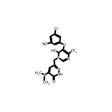 CN(C)c1cc(CN2C=NC(C(F)(F)F)=C(Oc3cc(Cl)cc(C#N)c3)C2O)n[nH]c1=O